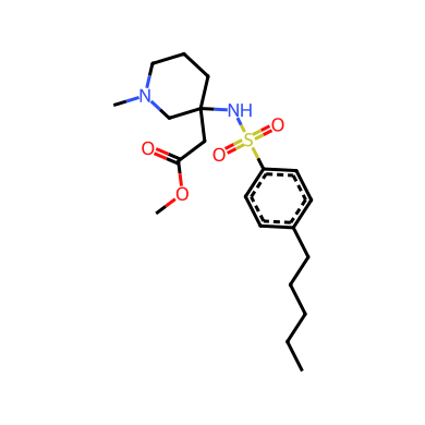 CCCCCc1ccc(S(=O)(=O)NC2(CC(=O)OC)CCCN(C)C2)cc1